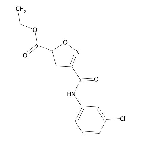 CCOC(=O)C1CC(C(=O)Nc2cccc(Cl)c2)=NO1